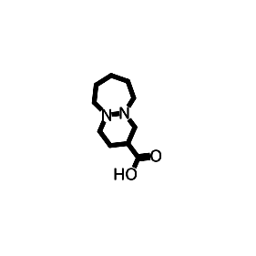 O=C(O)C1CCN2CCCCCN2C1